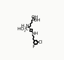 NC(CCCCB(O)O)(C(=O)O)[C@H]1C[C@@H](NCCCc2cc(F)cc(Cl)c2)C1